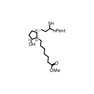 CCCCCC(S)CC[C@H]1CC[C@H](O)[C@@H]1CCCCCCC(=O)OC